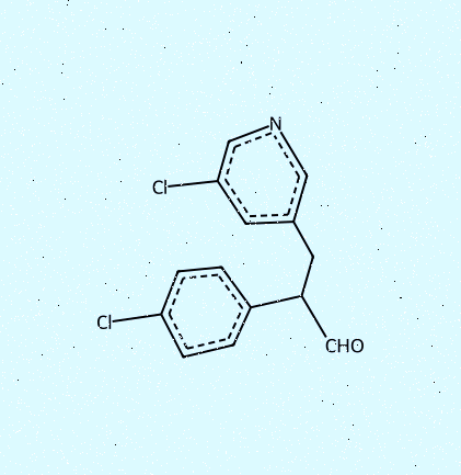 O=CC(Cc1cncc(Cl)c1)c1ccc(Cl)cc1